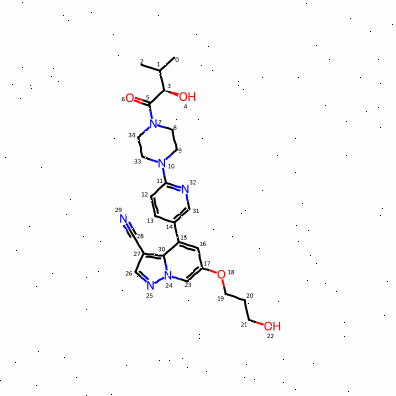 CC(C)[C@@H](O)C(=O)N1CCN(c2ccc(-c3cc(OCCCO)cn4ncc(C#N)c34)cn2)CC1